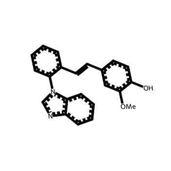 COc1cc(C=Cc2ccccc2-n2cnc3ccccc32)ccc1O